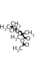 CC(=O)OC(=O)C(C)(C)COOC(C)(C)C